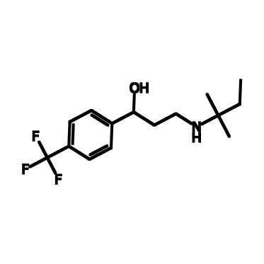 CCC(C)(C)NCCC(O)c1ccc(C(F)(F)F)cc1